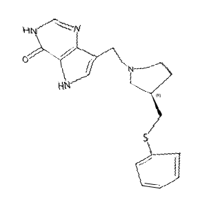 O=c1[nH]cnc2c(CN3CC[C@@H](CSc4ccccc4)C3)c[nH]c12